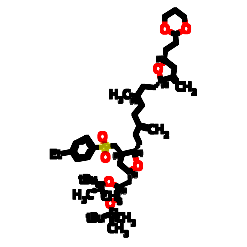 C=C(CC[C@@H](C)CC[C@@H]1O[C@@H](CCC2OCCCO2)CC1=C)CC[C@@H]1O[C@H](C[C@@H](CO[Si](C)(C)C(C)(C)C)O[Si](C)(C)C(C)(C)C)C[C@H]1CS(=O)(=O)c1ccc(CC)cc1